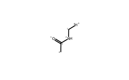 [3H]CNC(C)=O